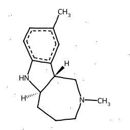 Cc1ccc2c(c1)[C@@H]1CN(C)CCC[C@H]1N2